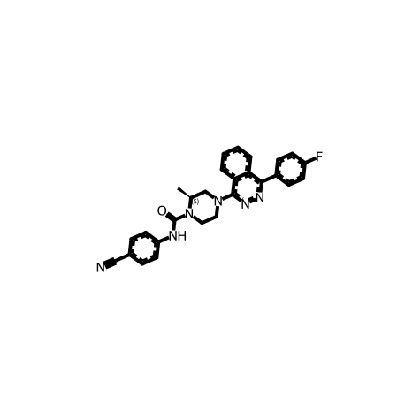 C[C@H]1CN(c2nnc(-c3ccc(F)cc3)c3ccccc23)CCN1C(=O)Nc1ccc(C#N)cc1